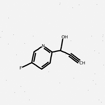 C#CC(O)c1ccc(F)cn1